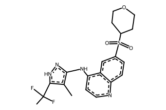 Cc1c(Nc2ccnc3ccc(S(=O)(=O)C4CCOCC4)cc23)n[nH]c1C(C)(F)F